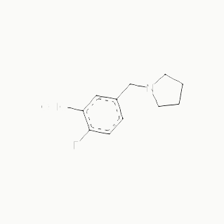 O=Cc1cc(CN2CCCC2)ccc1F